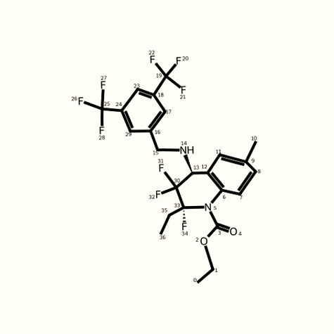 CCOC(=O)N1c2ccc(C)cc2[C@H](NCc2cc(C(F)(F)F)cc(C(F)(F)F)c2)C(F)(F)[C@]1(F)CC